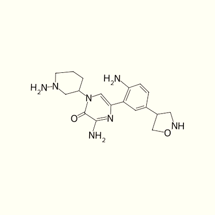 Nc1ccc(C2CNOC2)cc1-c1cn(C2CCCN(N)C2)c(=O)c(N)n1